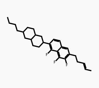 C/C=C/CCc1cc2ccc(C3CCC4CC(CCCC)CCC4C3)c(F)c2c(F)c1F